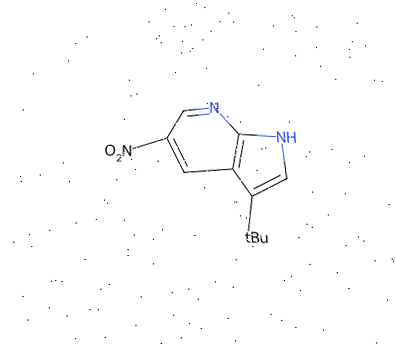 CC(C)(C)c1c[nH]c2ncc([N+](=O)[O-])cc12